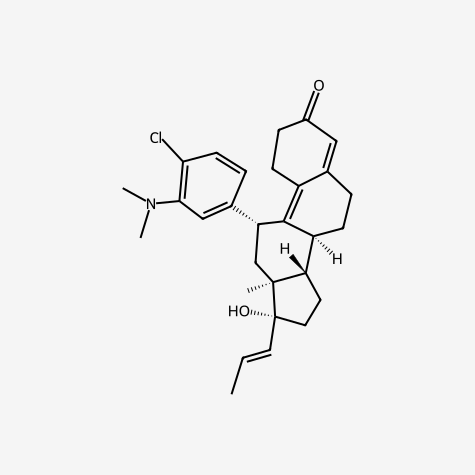 CC=C[C@]1(O)CC[C@H]2[C@@H]3CCC4=CC(=O)CCC4=C3[C@@H](c3ccc(Cl)c(N(C)C)c3)C[C@@]21C